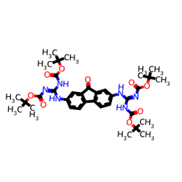 CC(C)(C)OC(=O)/N=C(/NC(=O)OC(C)(C)C)Nc1ccc2c(c1)C(=O)c1cc(N/C(=N\C(=O)OC(C)(C)C)NC(=O)OC(C)(C)C)ccc1-2